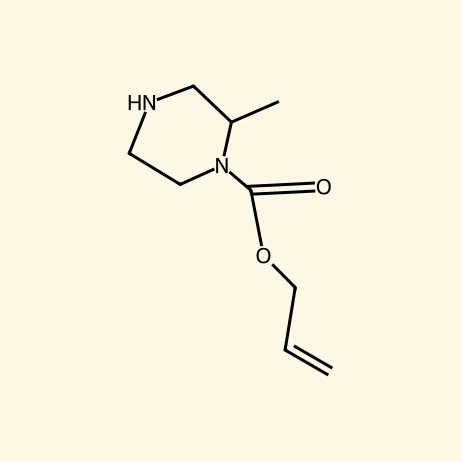 C=CCOC(=O)N1CCNCC1C